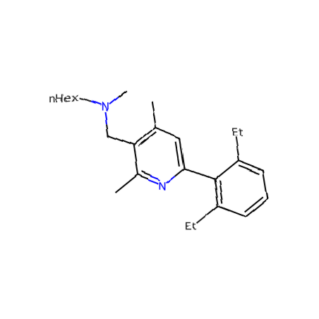 CCCCCCN(C)Cc1c(C)cc(-c2c(CC)cccc2CC)nc1C